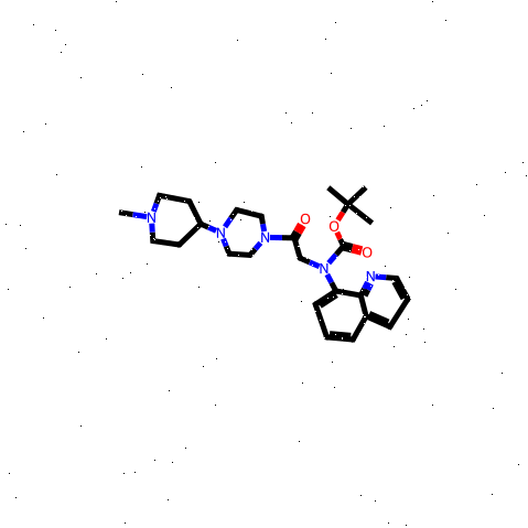 CN1CCC(N2CCN(C(=O)CN(C(=O)OC(C)(C)C)c3cccc4cccnc34)CC2)CC1